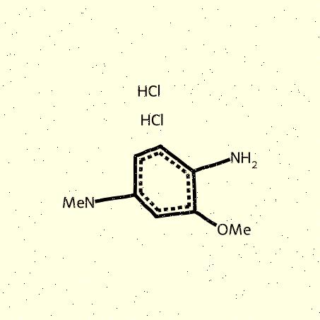 CNc1ccc(N)c(OC)c1.Cl.Cl